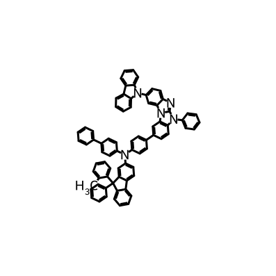 Cc1ccccc1C1(c2ccccc2)c2ccccc2-c2ccc(N(c3ccc(-c4ccccc4)cc3)c3ccc(-c4ccc5c(c4)n4c6cc(-n7c8ccccc8c8ccccc87)ccc6nc4n5-c4ccccc4)cc3)cc21